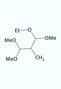 CCOC(OC)C(C)C(OC)OC